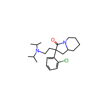 CC(C)N(CCC1(c2ccccc2Cl)CC2CCCCN2C1=O)C(C)C